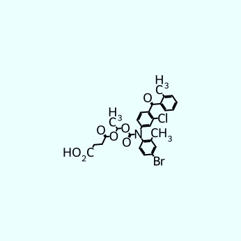 Cc1ccccc1C(=O)c1ccc(N(C(=O)OC(C)OC(=O)CCC(=O)O)c2ccc(Br)cc2C)cc1Cl